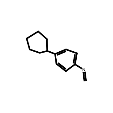 C=Nc1ccc(C2CCCCC2)cc1